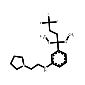 COC(CCC(F)(F)F)(OC)c1cccc(NCCN2CCCC2)c1